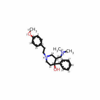 COc1ccc(CCN2CCC(O)(c3ccccc3)C(CN(C)C)C2)cc1